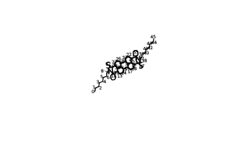 CCCCCCC[C@H](C)N1C(=O)c2ccc3c4ccc5c6c(ccc(c7ccc(c2c37)C1=S)c64)C(=O)N([C@@H](C)CCCCCCC)C5=S